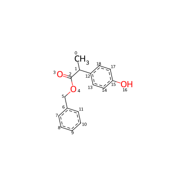 CC(C(=O)OCc1ccccc1)c1ccc(O)cc1